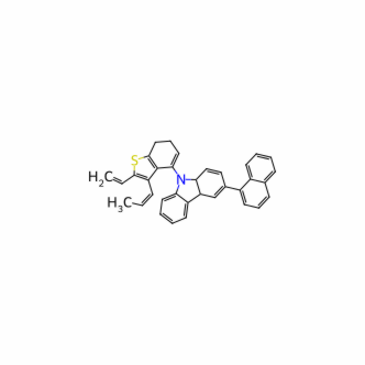 C=Cc1sc2c(c1/C=C\C)C(N1c3ccccc3C3C=C(c4cccc5ccccc45)C=CC31)=CCC2